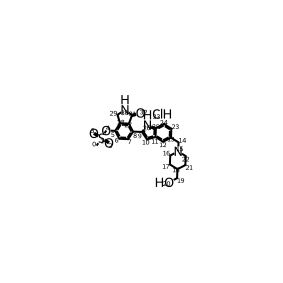 CS(=O)(=O)Oc1ccc(-c2cc3cc(CN4CCC(CO)CC4)ccc3[nH]2)c2c1CNC2=O.Cl